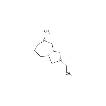 CCN1CC2CCCN(C)CC2C1